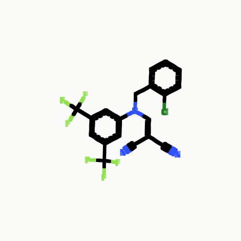 N#CC(C#N)=CN(Cc1ccccc1Cl)c1cc(C(F)(F)F)cc(C(F)(F)F)c1